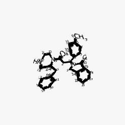 Cc1ccc(C(CC(=O)N2CCNCC2Cc2ccccc2)N2Cc3ccccc3C2=O)cc1